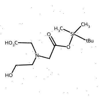 CC(C)(C)[Si](C)(C)OC(=O)CN(CCO)CC(=O)O